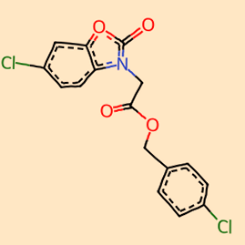 O=C(Cn1c(=O)oc2cc(Cl)ccc21)OCc1ccc(Cl)cc1